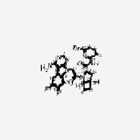 Nc1ncnc2c1c1cc(F)c(F)cc1n2CC(=O)N1[C@@H]2CC[C@@H]2C[C@H]1C(=O)Nc1cccc(Br)n1